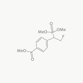 COC(=O)c1ccc(C(CF)P(=O)(OC)OC)cc1